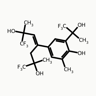 Cc1cc(/C(=C/C(C)(O)C(F)(F)F)CC(C)(O)C(F)(F)F)cc(C(C)(O)C(F)(F)F)c1O